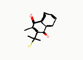 CC1=C(C(C)(C)S)C(=O)c2ccccc2C1=O